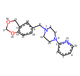 c1ccc(N2CCN(Cc3ccc4c(c3)COCO4)CC2)nc1